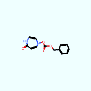 O=C1C=CN(OC(=O)OCc2ccccc2)C=CN1